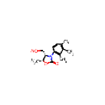 Cc1c(N2C(=O)O[C@@H](C)[C@@H]2CO)ccc(C#N)c1C(F)(F)F